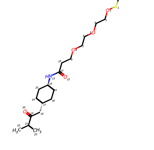 CSOCCOCCOCCC(=O)N[C@H]1CC[C@H](CC(=O)C(C)C)CC1